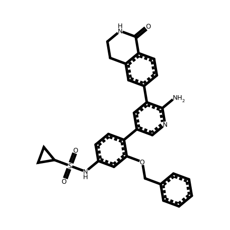 Nc1ncc(-c2ccc(NS(=O)(=O)C3CC3)cc2OCc2ccccc2)cc1-c1ccc2c(c1)CCNC2=O